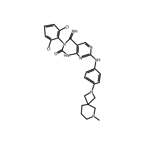 CN1CCCC2(C1)CN(c1ccc(Nc3ncc4c(=N)n(-c5c(Cl)cccc5Cl)c(=O)[nH]c4n3)cc1)C2